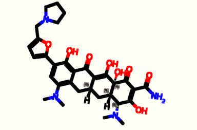 CN(C)c1cc(-c2ccc(CN3CCCC3)o2)c(O)c2c1C[C@H]1C[C@H]3[C@@H](N(C)C)C(O)=C(C(N)=O)C(=O)[C@]3(O)C(O)=C1C2=O